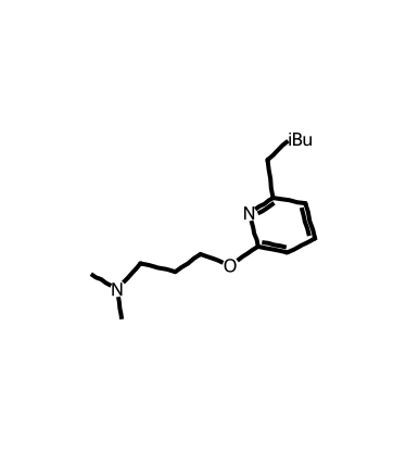 CCC(C)Cc1cccc(OCCCN(C)C)n1